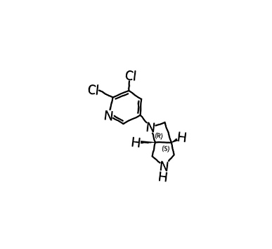 Clc1cc(N2C[C@@H]3CNC[C@@H]32)cnc1Cl